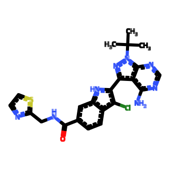 CC(C)(C)n1nc(-c2[nH]c3cc(C(=O)NCc4nccs4)ccc3c2Cl)c2c(N)ncnc21